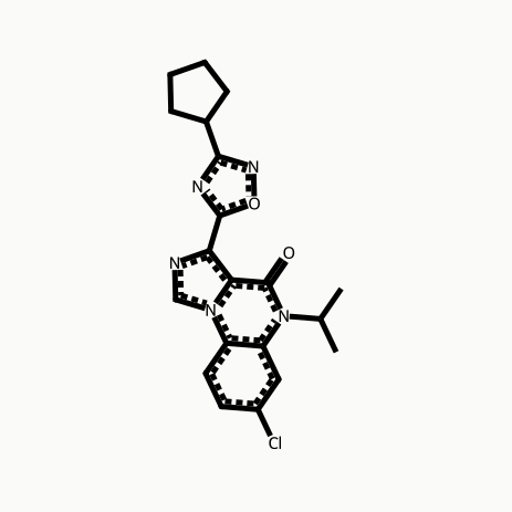 CC(C)n1c(=O)c2c(-c3nc(C4CCCC4)no3)ncn2c2ccc(Cl)cc21